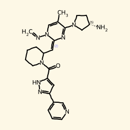 C=NN1C=C(C)C(N2CC[C@H](N)C2)=N/C1=C/C1CCCCN1C(=O)c1cc(-c2cccnc2)n[nH]1